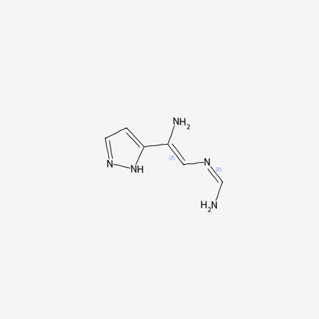 N/C=N\C=C(/N)c1ccn[nH]1